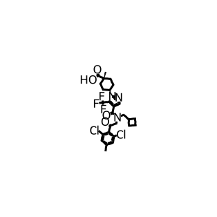 Cc1cc(Cl)c(C(=O)CN(CC2CCC2)C(=O)c2cnn([C@H]3CC[C@](C)(C(=O)O)CC3)c2C(F)(F)F)c(Cl)c1